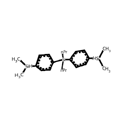 CCC[Si](CCC)(c1ccc([SiH](C)C)cc1)c1ccc([SiH](C)C)cc1